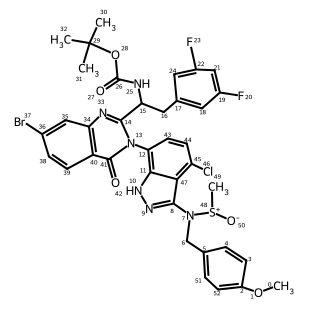 COc1ccc(CN(c2n[nH]c3c(-n4c(C(Cc5cc(F)cc(F)c5)NC(=O)OC(C)(C)C)nc5cc(Br)ccc5c4=O)ccc(Cl)c23)[S+](C)[O-])cc1